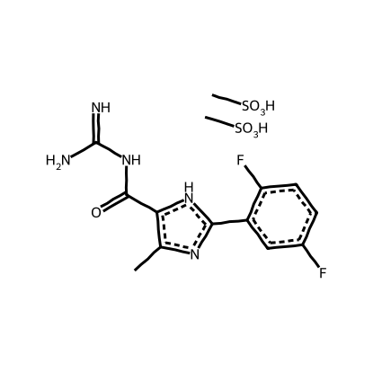 CS(=O)(=O)O.CS(=O)(=O)O.Cc1nc(-c2cc(F)ccc2F)[nH]c1C(=O)NC(=N)N